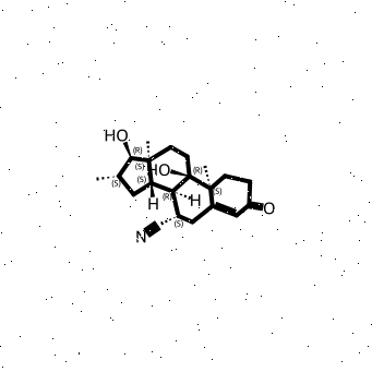 C[C@H]1C[C@H]2[C@@H]3[C@@H](C#N)CC4=CC(=O)CC[C@]4(C)[C@@]3(O)CC[C@]2(C)[C@@H]1O